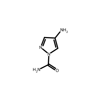 NC(=O)n1cc(N)cn1